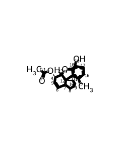 CC(=O)O[C@H]1C=CC2CC=CC[C@@]23c2c(C)ccc(O)c2O[C@@H]13